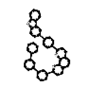 c1ccc(-c2cccc(-c3cccc(-c4ccc5ccc6ccc(-c7ccc(-c8ccc9oc%10ccccc%10c9c8)cc7)nc6c5n4)c3)c2)cc1